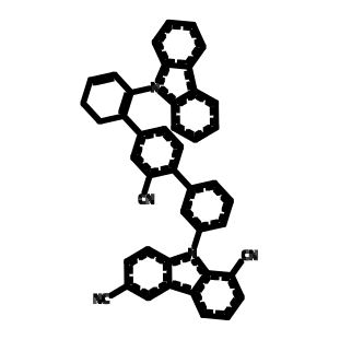 N#Cc1ccc2c(c1)c1cccc(C#N)c1n2-c1cccc(-c2ccc(C3=C(n4c5ccccc5c5ccccc54)C=CCC3)cc2C#N)c1